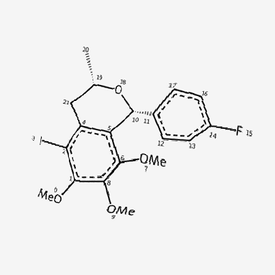 COc1c(I)c2c(c(OC)c1OC)[C@@H](c1ccc(F)cc1)O[C@@H](C)C2